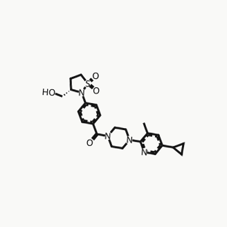 Cc1cc(C2CC2)cnc1N1CCN(C(=O)c2ccc(N3[C@H](CO)CCS3(=O)=O)cc2)CC1